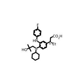 CC[C@H](CC(=O)O)c1ccc(N(CC(C)(C)O)C2CCCCC2)c(Nc2ccc(F)cc2)c1